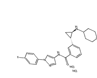 Cl.Cl.O=C(Nc1cnn(-c2ccc(F)cc2)c1)c1cccc([C@@H]2C[C@H]2NC2CCOCC2)c1